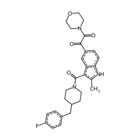 Cc1[nH]c2ccc(C(=O)C(=O)N3CCOCC3)cc2c1C(=O)N1CCC(Cc2ccc(F)cc2)CC1